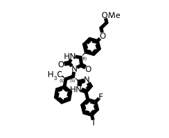 COCCOc1ccc([C@H]2NC(=O)N([C@H](c3ncc(-c4ccc(I)cc4F)[nH]3)[C@@H](C)c3ccccc3)C2=O)cc1